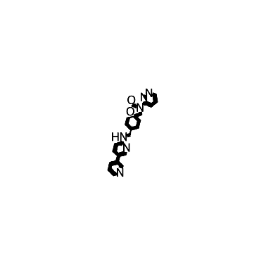 O=C1O[C@]2(CC[C@H](CNc3ccc(-c4cccnc4)cn3)CC2)CN1c1cccnn1